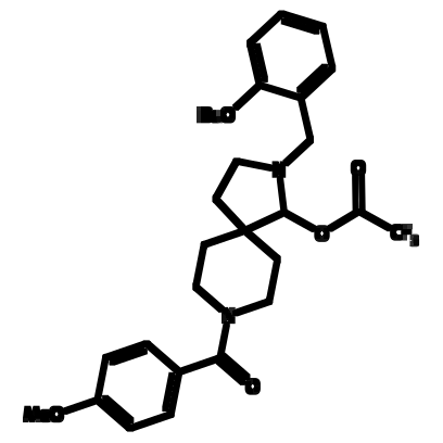 COc1ccc(C(=O)N2CCC3(CC2)CCN(Cc2ccccc2OCC(C)C)C3OC(=O)C(F)(F)F)cc1